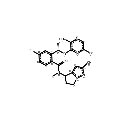 C[C@@H](Oc1nc(Br)cnc1N)c1cc(F)ccc1C(=O)N(C)C1CCn2nc(C#N)cc21